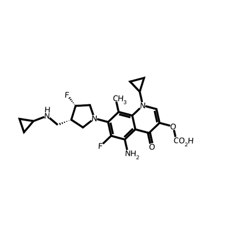 Cc1c(N2C[C@H](CNC3CC3)[C@H](F)C2)c(F)c(N)c2c(=O)c(OC(=O)O)cn(C3CC3)c12